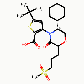 CC(C)(C)c1cc(N2C(=O)C(CCCS(C)(=O)=O)OC[C@H]2C2CCCCC2)c(C(=O)O)s1